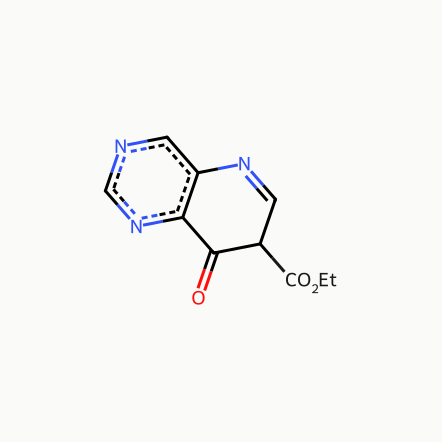 CCOC(=O)C1C=Nc2cncnc2C1=O